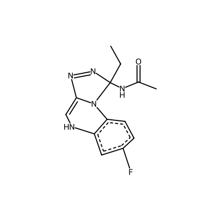 CCC1(NC(C)=O)N=NC2=CNc3cc(F)ccc3N21